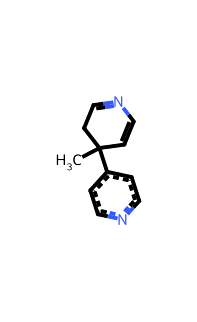 CC1(c2ccncc2)C=CN=CC1